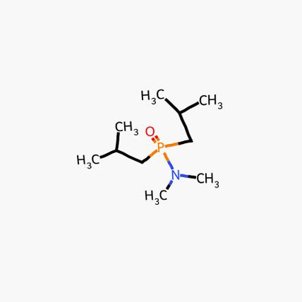 CC(C)CP(=O)(CC(C)C)N(C)C